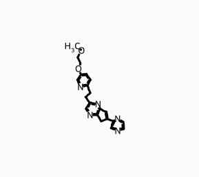 COCCOc1ccc(CCc2cnc3c(n2)C=C(c2cnccn2)C3)nc1